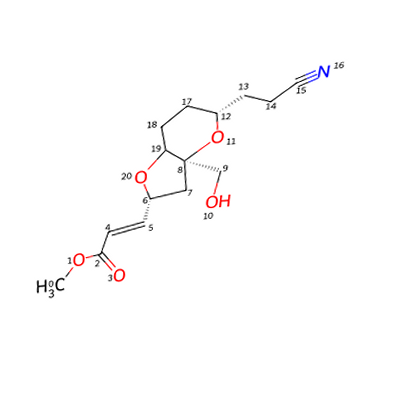 COC(=O)/C=C/[C@H]1C[C@]2(CO)O[C@@H](CCC#N)CCC2O1